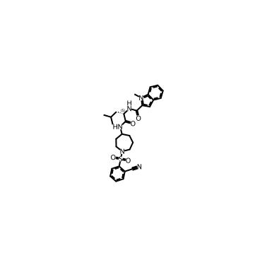 CC(C)C[C@H](NC(=O)c1cc2ccccc2n1C)C(=O)NC1CCCN(S(=O)(=O)c2ccccc2C#N)CC1